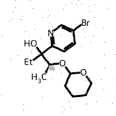 CCC(O)(c1ccc(Br)cn1)[C@H](C)OC1CCCCO1